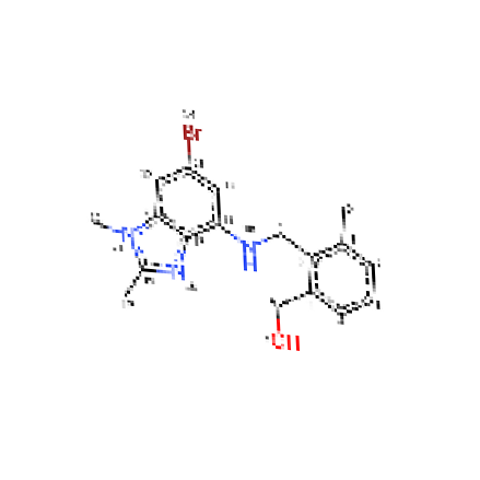 Cc1cccc(CO)c1CNc1cc(Br)cc2c1nc(C)n2C